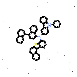 c1ccc(-n2c3ccccc3c3cc(N(c4ccc(-c5cccc6ccccc56)c5ccccc45)c4cccc5c4sc4ccc6ccccc6c45)ccc32)cc1